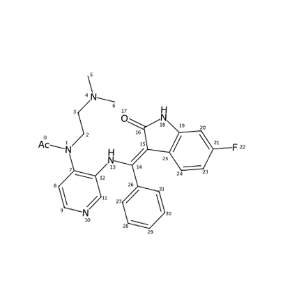 CC(=O)N(CCN(C)C)c1ccncc1NC(=C1C(=O)Nc2cc(F)ccc21)c1ccccc1